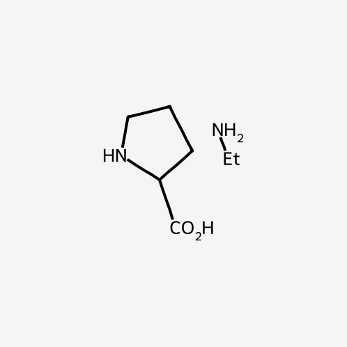 CCN.O=C(O)C1CCCN1